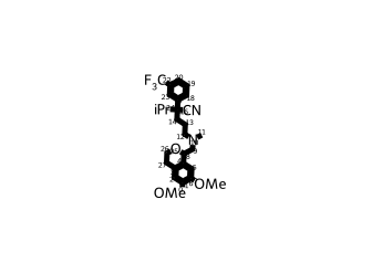 COc1cc2c(cc1OC)C(CN(C)CCCC(C#N)(c1cccc(C(F)(F)F)c1)C(C)C)OCC2